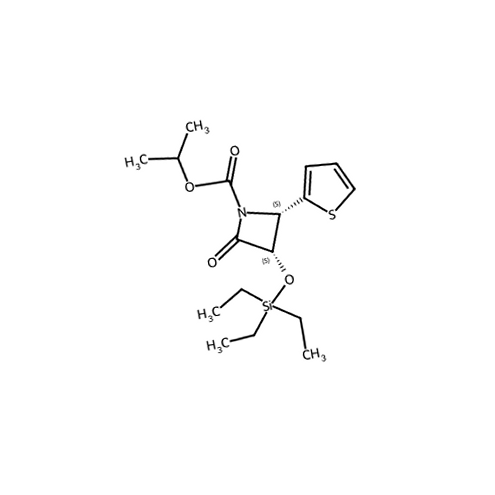 CC[Si](CC)(CC)O[C@@H]1C(=O)N(C(=O)OC(C)C)[C@@H]1c1cccs1